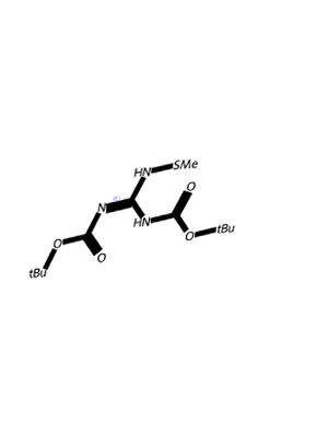 CSN/C(=N/C(=O)OC(C)(C)C)NC(=O)OC(C)(C)C